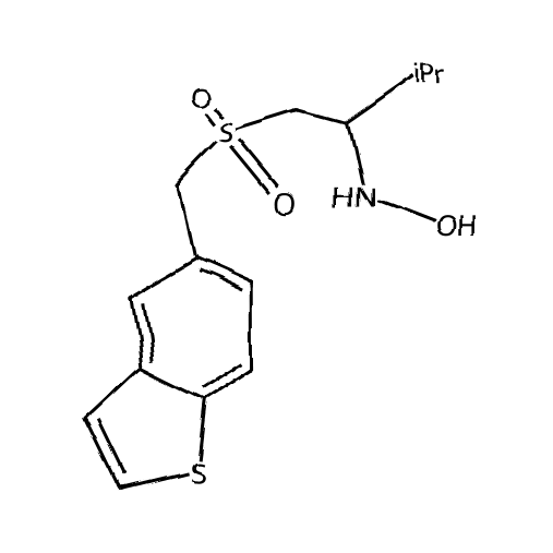 CC(C)C(CS(=O)(=O)Cc1ccc2sccc2c1)NO